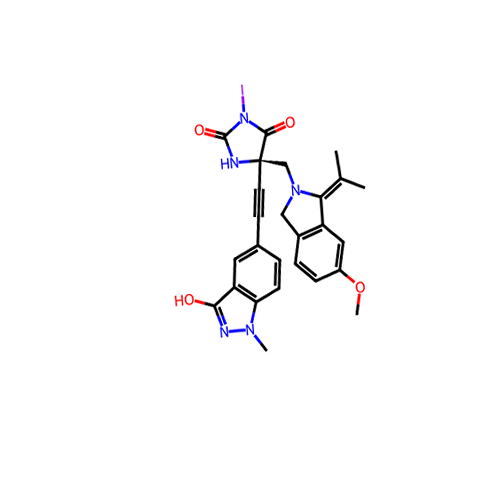 COc1ccc2c(c1)C(=C(C)C)N(C[C@@]1(C#Cc3ccc4c(c3)c(O)nn4C)NC(=O)N(I)C1=O)C2